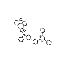 Cc1cc(-n2c3ccccc3c3cc(-c4cccc(-c5nc(-c6ccccc6)cc(-c6ccccc6)n5)c4)ccc32)oc1-c1cccc2oc3ccccc3c12